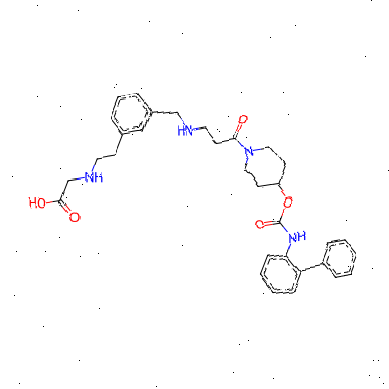 O=C(O)CNCCc1cccc(CNCCC(=O)N2CCC(OC(=O)Nc3ccccc3-c3ccccc3)CC2)c1